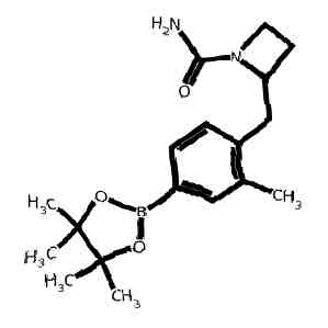 Cc1cc(B2OC(C)(C)C(C)(C)O2)ccc1CC1CCN1C(N)=O